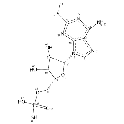 CSc1nc(N)c2ncn([C@@H]3O[C@H](COP(=O)(O)S)C(O)C3O)c2n1